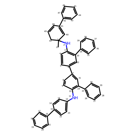 CC1(Nc2ccc(-c3ccc(Nc4ccc(-c5ccccc5)cc4)c(-c4ccccc4)c3)cc2-c2ccccc2)C=C(c2ccccc2)C=CC1